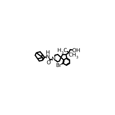 CC(C)(CO)C1CC2(CCN(C(=O)NC3C4CC5CC(C4)CC3C5)CC2)c2c(Br)cccc21